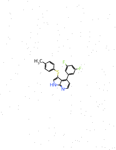 Cc1ccc(Sc2c[nH]c3nccc(-c4cc(F)cc(F)c4)c23)cc1